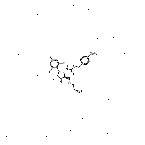 COc1ccc(COC(=O)N[C@@H]2/C(=N/OCCO)NC[C@H]2c2c(F)cc(Cl)cc2F)cc1